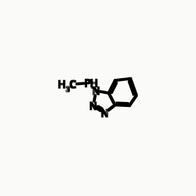 CPn1nnc2ccccc21